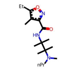 CCCN(C)C(C)(C)C(C)(C)NC(=O)c1noc(CC)c1C